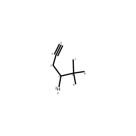 [2H]C(CC#C)C(C)(C)C